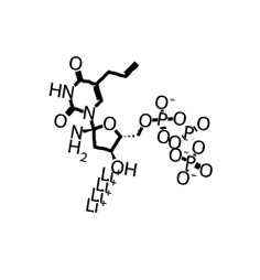 C=CCc1cn([C@@]2(N)C[C@H](O)[C@@H](COP(=O)([O-])OP(=O)([O-])OP(=O)([O-])[O-])O2)c(=O)[nH]c1=O.[Li+].[Li+].[Li+].[Li+]